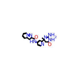 CC1(c2cc(NC(=O)C3=NN4C=CC=CC4C3)ccn2)CC(=O)NC(N)=N1